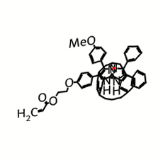 C=CC(=O)OCCOc1ccc(-c2[nH]c(-c3cc4ccc3CCCc3ccc(cc3-c3nc(-c5ccccc5)c(-c5ccccc5)[nH]3)CCC4)nc2-c2ccc(OC)cc2)cc1